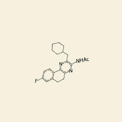 CC(=O)Nc1nc2c(nc1CC1CCCCC1)-c1ccc(F)cc1CC2